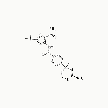 CC(C)(C)c1cc(NC(=O)c2ccc(C3(C)CCSC(N)=N3)cc2)c(C(N)=O)s1